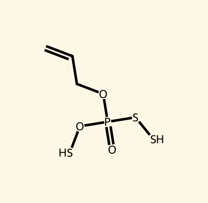 C=CCOP(=O)(OS)SS